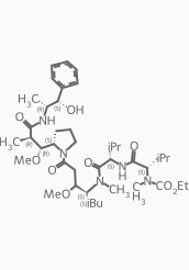 CCOC(=O)N(C)[C@H](C(=O)N[C@H](C(=O)N(C)[C@H](C(CC(=O)N1CCC[C@H]1[C@H](OC)[C@@H](C)C(=O)N[C@H](C)[C@@H](O)c1ccccc1)OC)[C@@H](C)CC)C(C)C)C(C)C